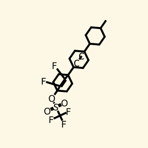 CC1CCC(C23CCC(C45CCC(OS(=O)(=O)C(F)(F)F)(CC4)C(F)=C5F)(CC2)CC3)CC1